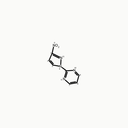 O=[N+]([O-])c1ccn(-c2ncccn2)n1